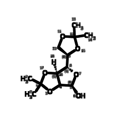 CC1(C)OC2[C@H](O)O[C@@H]([C@H]3COC(C)(C)O3)[C@@H]2O1